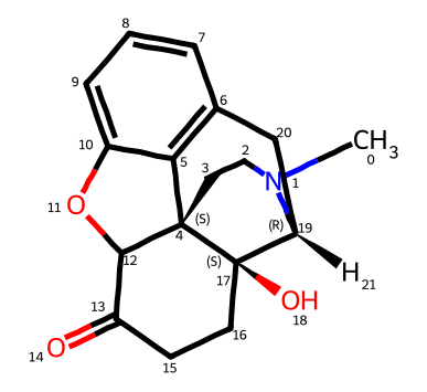 CN1CC[C@]23c4c5cccc4OC2C(=O)CC[C@@]3(O)[C@H]1C5